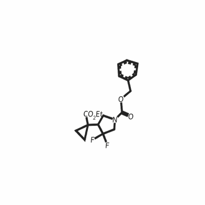 CCOC(=O)C1(C2CN(C(=O)OCc3ccccc3)CC2(F)F)CC1